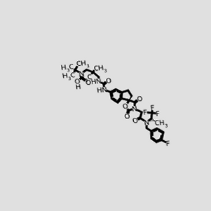 C[C@H](N(Cc1ccc(F)cc1)C(=O)CN1C(=O)O[C@@]2(CCc3cc(NC(=O)NCC(C)(C)CN(C(=O)O)C(C)(C)C)ccc32)C1=O)C(F)(F)F